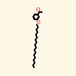 CCCCCCCCCCCCCCCCCCOc1cccc(C(C)=O)c1